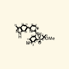 COC(C)(C)CS(=O)(=O)c1ccccc1Nc1nccc(-c2ccc3c(C)n[nH]c3c2)n1.N